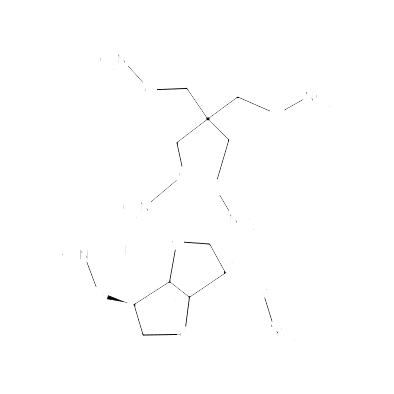 O=[N+]([O-])OCC(CO[N+](=O)[O-])(CO[N+](=O)[O-])CO[N+](=O)[O-].O=[N+]([O-])O[C@H]1CO[C@H]2[C@@H]1OC[C@H]2O[N+](=O)[O-]